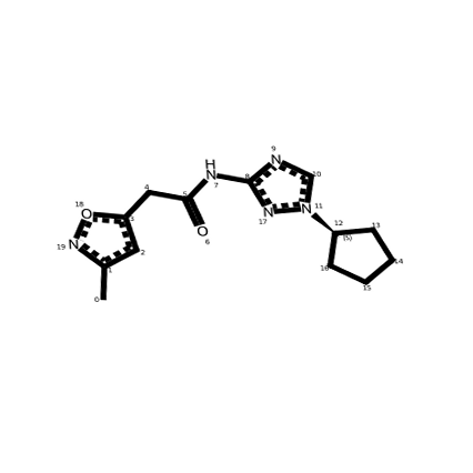 Cc1cc(CC(=O)Nc2ncn([C@H]3C[CH]CC3)n2)on1